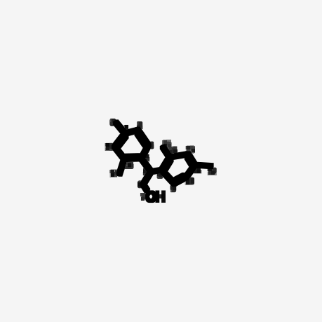 Cc1ccc(C(CO)c2ccc(C)cc2C)c(C)c1